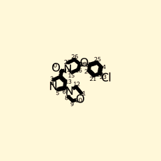 O=C(c1cncc(N2CCOCC2)c1)N1CCC(Oc2ccc(Cl)cc2)CC1